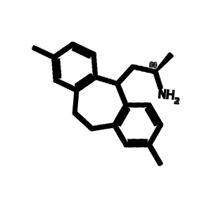 Cc1ccc2c(c1)CCc1cc(C)ccc1C2C[C@@H](C)N